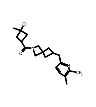 Cc1ccc(CC2CC3(C2)CN(C(=O)C2CC(C)(O)C2)C3)nc1C(F)(F)F